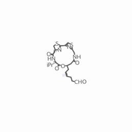 CC(C)[C@@H]1NC(=O)[C@]2(C)CSC(=N2)c2csc(n2)CNC(=O)CC(C/C=C\CCC=O)OC1=O